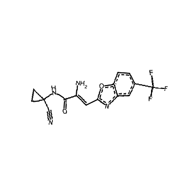 N#CC1(NC(=O)C(N)=Cc2nc3cc(C(F)(F)F)ccc3o2)CC1